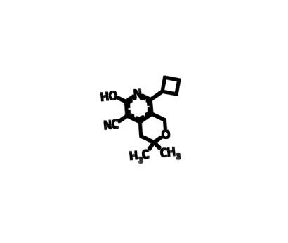 CC1(C)Cc2c(C#N)c(O)nc(C3CCC3)c2CO1